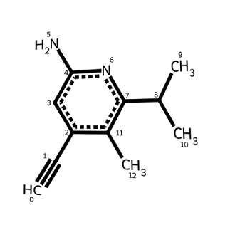 C#Cc1cc(N)nc(C(C)C)c1C